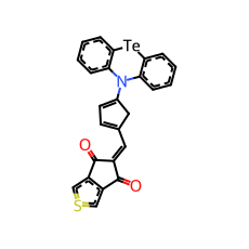 O=C1C(=CC2=CC=C(N3c4ccccc4[Te]c4ccccc43)C2)C(=O)c2cscc21